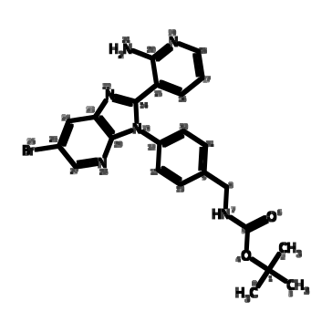 CC(C)(C)OC(=O)NCc1ccc(-n2c(-c3cccnc3N)nc3cc(Br)cnc32)cc1